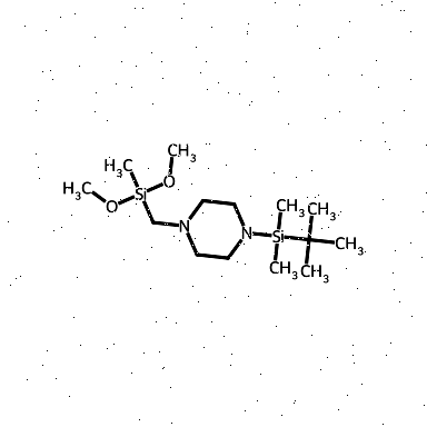 CO[Si](C)(CN1CCN([Si](C)(C)C(C)(C)C)CC1)OC